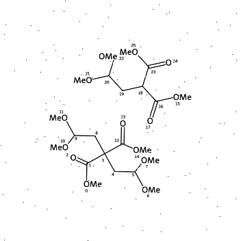 COC(=O)C(CC(OC)OC)(CC(OC)OC)C(=O)OC.COC(=O)C(CC(OC)OC)C(=O)OC